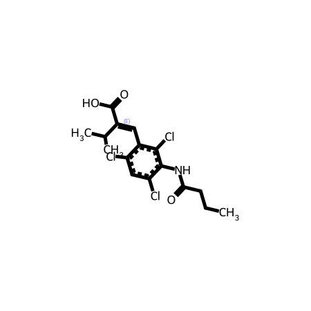 CCCC(=O)Nc1c(Cl)cc(Cl)c(/C=C(/C(=O)O)C(C)C)c1Cl